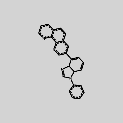 C1=CC2C(N=CN2c2ccccc2)C(c2cnc3c(ccc4cccnc43)c2)=C1